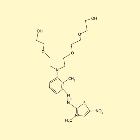 Cc1c(/N=N/c2sc([N+](=O)[O-])c[n+]2C)cccc1N(CCOCCO)CCOCCOCCO